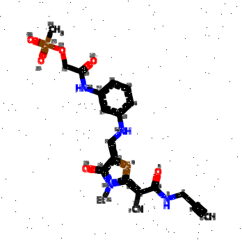 C#CCNC(=O)C(C#N)=c1sc(=CNc2cccc(NC(=O)COS(C)(=O)=O)c2)c(=O)n1CC